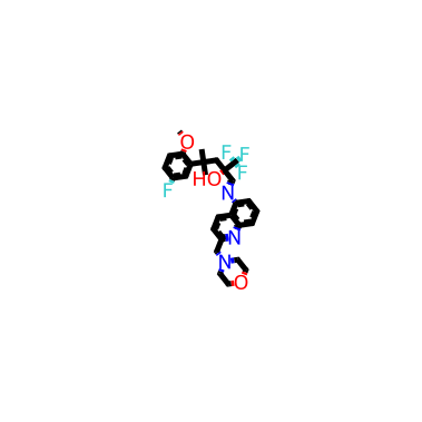 COc1ccc(F)cc1C(C)(C)CC(O)(C=Nc1cccc2nc(CN3CCOCC3)ccc12)C(F)(F)F